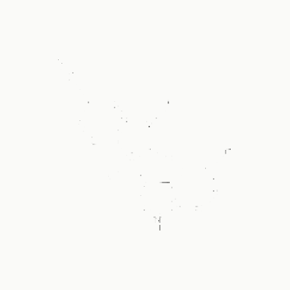 CCOC(=O)[C@](O)(c1ccc(C#N)cc1)c1c[nH]c2ccc(Cl)cc12